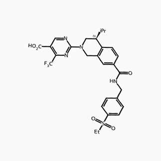 CCS(=O)(=O)c1ccc(CNC(=O)c2ccc3c(c2)CN(c2ncc(C(=O)O)c(C(F)(F)F)n2)C[C@H]3C(C)C)cc1